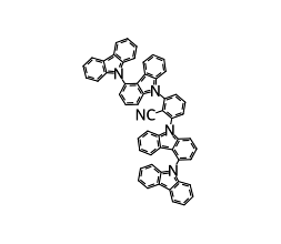 N#Cc1c(-n2c3ccccc3c3c(-n4c5ccccc5c5ccccc54)cccc32)cccc1-n1c2ccccc2c2c(-n3c4ccccc4c4ccccc43)cccc21